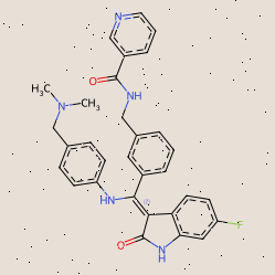 CN(C)Cc1ccc(N/C(=C2\C(=O)Nc3cc(F)ccc32)c2cccc(CNC(=O)c3cccnc3)c2)cc1